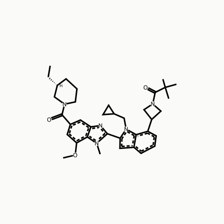 CC[C@@H]1CCCN(C(=O)c2cc(OC)c3c(c2)nc(-c2cc4cccc(C5CN(C(=O)C(C)(C)C)C5)c4n2CC2CC2)n3C)C1